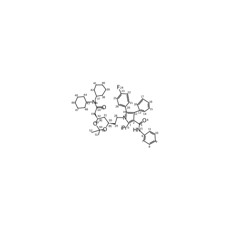 CC(C)c1c(C(=O)Nc2ccccc2)c(-c2ccccc2)c(-c2ccc(F)cc2)n1CC[C@@H]1C[C@H](CC(=O)N(C2CCCCC2)C2CCCCC2)OC(C)(C)O1